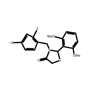 COc1cccc(OC)c1C1SCC(=O)N1Cc1ccc(Cl)cc1F